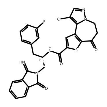 N=C1c2ccccc2C(=O)N1C[C@H](Cc1cccc(F)c1)NC(=O)c1cc2c(s1)C(=O)CCn1ncc(Cl)c1-2